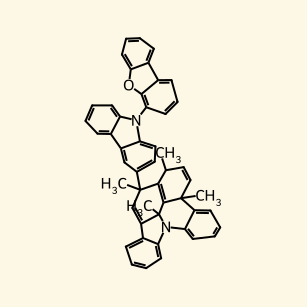 CC1C=CC2(C)C3=C1C(C)(c1ccc4c(c1)c1ccccc1n4-c1cccc4c1oc1ccccc14)C=C1c4ccccc4N(c4ccccc42)C13C